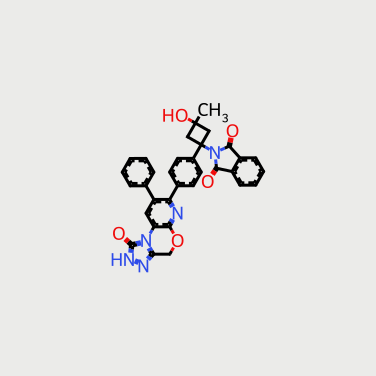 CC1(O)CC(c2ccc(-c3nc4c(cc3-c3ccccc3)-n3c(n[nH]c3=O)CO4)cc2)(N2C(=O)c3ccccc3C2=O)C1